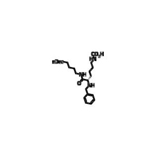 CCCCCCCCCCCCCCNC(=O)[C@H](CCCCNC(=O)O)NCc1ccccc1